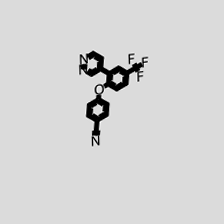 N#Cc1ccc(Oc2ccc(C(F)(F)F)cc2-c2ccnnc2)cc1